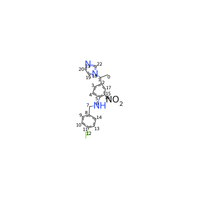 CC(c1ccc(NCc2ccc(F)cc2)c([N+](=O)[O-])c1)n1ccnc1